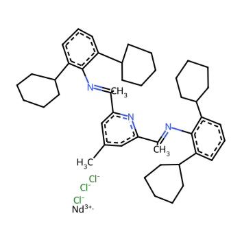 CC(=Nc1c(C2CCCCC2)cccc1C1CCCCC1)c1cc(C)cc(C(C)=Nc2c(C3CCCCC3)cccc2C2CCCCC2)n1.[Cl-].[Cl-].[Cl-].[Nd+3]